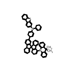 CC1(C)c2ccccc2N(C2=CCCC3=C2c2ccccc2C32C3=CC=CCC3c3ccc(C4C=CC(N(C5=CC=CCC5)c5ccc6c(c5)sc5ccccc56)=CC4)cc32)c2ccccc21